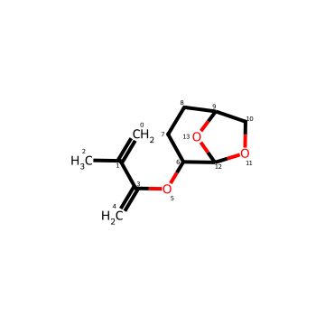 C=C(C)C(=C)OC1CCC2COC1O2